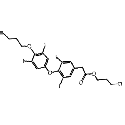 O=C(Cc1cc(I)c(Oc2cc(I)c(OCCCCl)c(I)c2)c(I)c1)OCCCCl